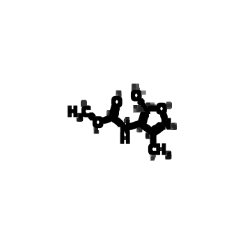 COC(=O)Nc1c(C)no[n+]1[O-]